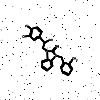 Cc1ccccc1Cn1c(=N)n(CC(O)c2ccc(Cl)c(Cl)c2)c2ccccc21